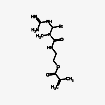 C=C(C)C(=O)OCCNC(=O)N(C)C(CC)NC(=N)N